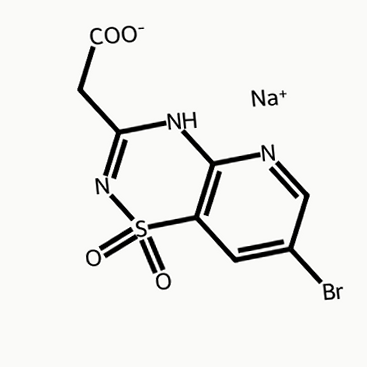 O=C([O-])CC1=NS(=O)(=O)c2cc(Br)cnc2N1.[Na+]